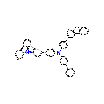 c1ccc(-c2ccc(N(c3ccc(-c4ccc5c(c4)-c4ccccc4C5)cc3)c3ccc(-c4ccc5c(c4)c4cccc6c7ccccc7n5c64)cc3)cc2)cc1